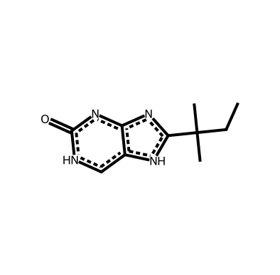 CCC(C)(C)c1nc2nc(=O)[nH]cc2[nH]1